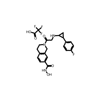 O=C(NO)c1ccc2c(c1)CN(C(=O)CNC1CC1c1ccc(F)cc1)CC2.O=C(O)C(F)(F)F